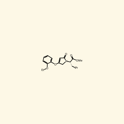 CCOc1ccccc1OC1=CC(=O)N([C@@H](CC(C)C)C(=O)OC)C1